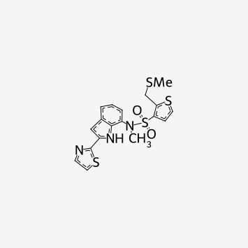 CSCc1sccc1S(=O)(=O)N(C)c1cccc2cc(-c3nccs3)[nH]c12